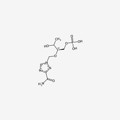 CC(O)[C@@H](COP(=O)(O)O)OCn1cnc(C(N)=O)n1